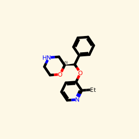 CCc1ncccc1OC(c1ccccc1)[C@@H]1CNCCO1